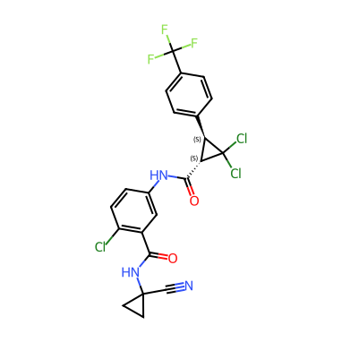 N#CC1(NC(=O)c2cc(NC(=O)[C@@H]3[C@@H](c4ccc(C(F)(F)F)cc4)C3(Cl)Cl)ccc2Cl)CC1